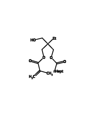 C=C(C)C(=O)OCC(CC)(CO)COC(=O)CCCCCCC